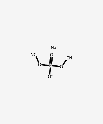 N#COP(=O)([O-])OC#N.[Na+]